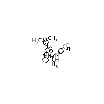 CC1CN(C(=O)C[C@@H](CC2CCCCC2)C(=O)N[C@@H](C)CNc2ccc(OC(F)(F)F)cc2)CC(C)O1